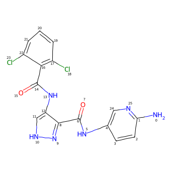 Nc1ccc(NC(=O)c2n[nH]cc2NC(=O)c2c(Cl)cccc2Cl)cn1